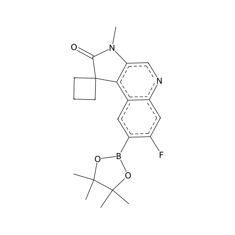 CN1C(=O)C2(CCC2)c2c1cnc1cc(F)c(B3OC(C)(C)C(C)(C)O3)cc21